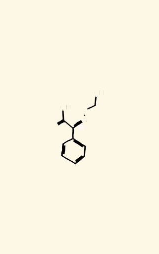 CCO/N=C(\C(=O)O)c1ccccc1